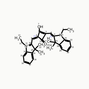 CCN1/C(=C/C2=C(O)C(=C/C3=[N+](CC)c4ccccc4C3(C)C)/C2=O)C(C)(C)c2ccccc21